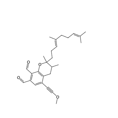 COC#Cc1cc(C=O)c(C=O)c2c1CC(C)C(C)(CC/C=C(\C)CCC=C(C)C)O2